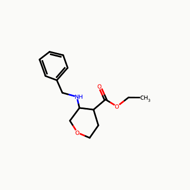 CCOC(=O)C1CCOCC1NCc1ccccc1